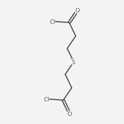 O=C(Cl)CCSCCC(=O)Cl